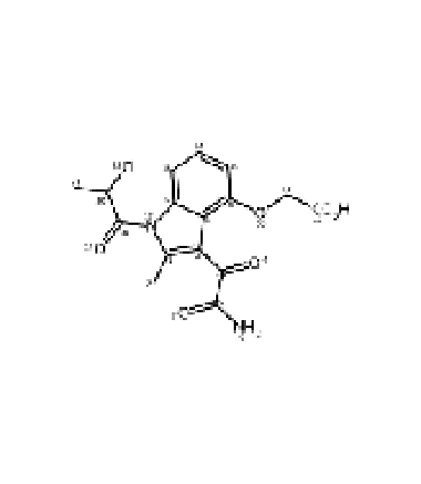 Cc1c(C(=O)C(N)=O)c2c(OCC(=O)O)cccc2n1C(=O)C(C)Cl